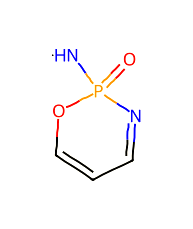 [NH]P1(=O)N=CC=CO1